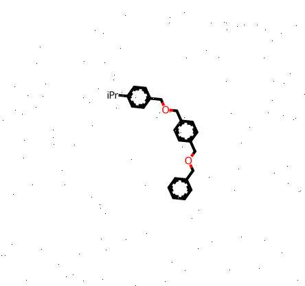 CC(C)c1ccc(COCc2ccc(COCc3ccccc3)cc2)cc1